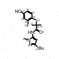 Cn1nc(C(C)(C)C)cc1NC(=O)C(C)(C)Sc1ccc(C#N)cc1F